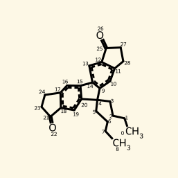 CCCCC1(CCCC)c2cc3c(cc2-c2cc4c(cc21)C(=O)CC4)C(=O)CC3